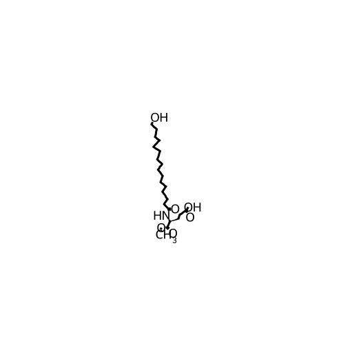 COC(=O)[C@H](CCC(=O)O)NC(=O)CCCCCCCCCCCCCCCO